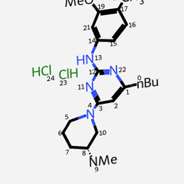 CCCCc1cc(N2CCC[C@@H](NC)C2)nc(Nc2ccc(C)c(OC)c2)n1.Cl.Cl